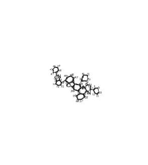 c1ccc(-c2nc(-c3ccccc3)nc(-c3ccccc3-c3ccc4c(c3)oc3c(-c5cccc6sc(-c7ccccc7)nc56)cccc34)n2)cc1